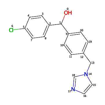 OC(c1ccc(Cl)cc1)c1ccc(Cn2ccnc2)cc1